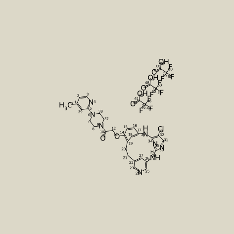 Cc1ccnc(N2CCN(C(=O)COc3ccc4cc3CCc3cncc(c3)Nc3ncc(Cl)c(n3)N4)CC2)c1.O=C(O)C(F)(F)F.O=C(O)C(F)(F)F.O=C(O)C(F)(F)F